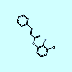 O=C(C=Cc1ccccc1)Oc1cccc(Cl)c1Br